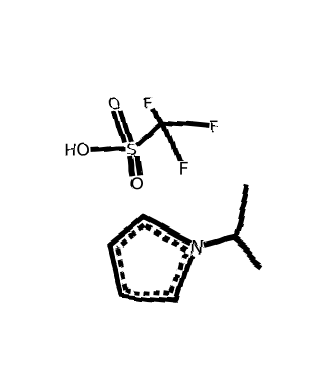 CC(C)n1cccc1.O=S(=O)(O)C(F)(F)F